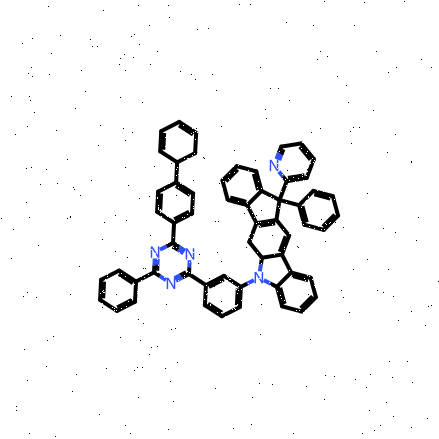 C1=CCC(c2ccc(-c3nc(-c4ccccc4)nc(-c4cccc(N5c6ccccc6C6=CC7=C(CC65)c5ccccc5C7(c5ccccc5)c5ccccn5)c4)n3)cc2)C=C1